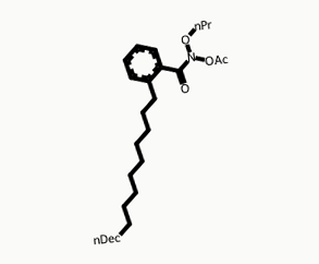 CCCCCCCCCCCCCCCCCCCc1ccccc1C(=O)N(OCCC)OC(C)=O